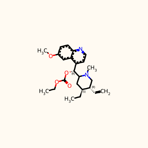 C=C[C@H]1CN(C)C([C@H](OC(=O)OCC)c2ccnc3ccc(OC)cc23)C[C@@H]1CC